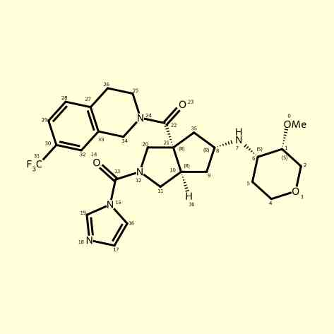 CO[C@@H]1COCC[C@@H]1N[C@@H]1C[C@H]2CN(C(=O)n3ccnc3)C[C@@]2(C(=O)N2CCc3ccc(C(F)(F)F)cc3C2)C1